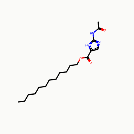 CCCCCCCCCCCCOC(=O)c1cnc(NC(C)=O)[nH]1